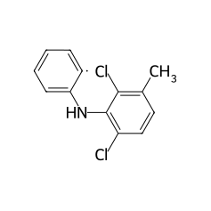 Cc1ccc(Cl)c(Nc2[c]cccc2)c1Cl